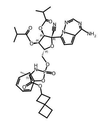 CC(C)C(=O)O[C@H]1[C@@H](OC(=O)C(C)C)[C@](C#N)(c2ccc3c(N)ncnn23)O[C@@H]1COP(=O)(N[C@@H](C)C(=O)OC1CC2(CCC2)C1)Oc1ccccc1